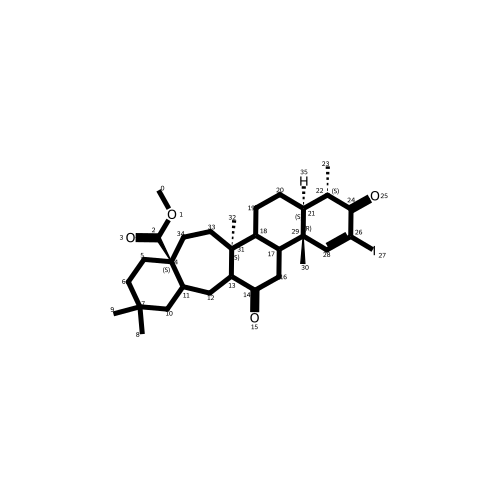 COC(=O)[C@]12CCC(C)(C)CC1CC1C(=O)CC3C(CC[C@H]4[C@H](C)C(=O)C(I)=C[C@]34C)[C@]1(C)CC2